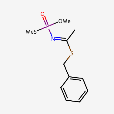 COP(=O)(N=C(C)SCc1ccccc1)SC